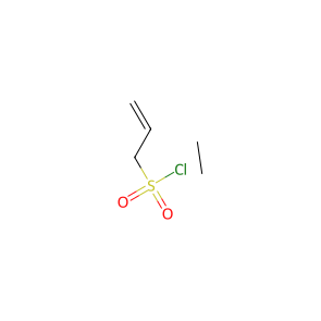 C=CCS(=O)(=O)Cl.CC